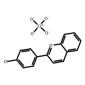 Clc1ccc(-c2ccc3ccccc3[o+]2)cc1.[O-][Cl+3]([O-])([O-])[O-]